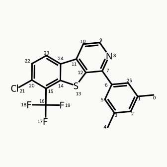 Cc1cc(C)cc(-c2nccc3c2sc2c(C(F)(F)F)c(Cl)ccc23)c1